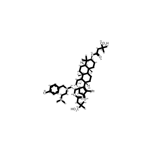 CC(C)C1=C2[C@H]3CCC4[C@@]5(C)CC[C@H](OC(=O)CC(C)(C)C(=O)O)C(C)(C)[C@@H]5CC[C@@]4(C)[C@]3(C)CC[C@@]2([C@@H](CN(CCN(C)C)Cc2ccc(Cl)cc2)OC(=O)CC(C)(C)C(=O)O)CC1=O